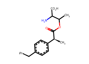 CC(C)Cc1ccc([C@H](C)C(=O)OC(C)C(N)C(=O)O)cc1